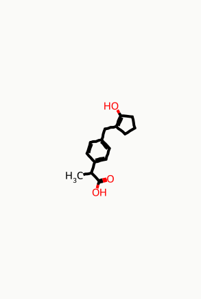 CC(C(=O)O)c1ccc(CC2=C(O)CCC2)cc1